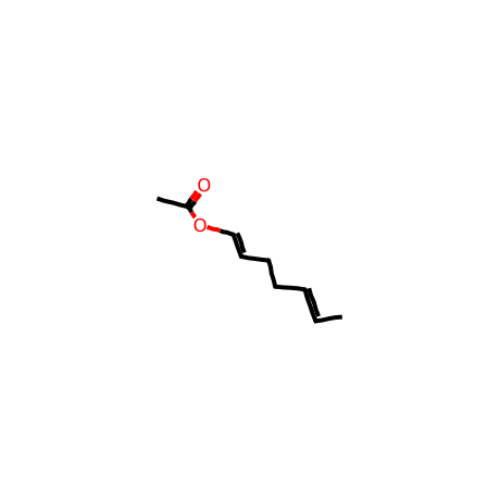 CC=CCCC=COC(C)=O